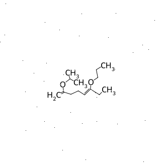 C=C(CCC=C(CC)OCCC)OC(C)C